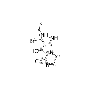 CCN/C(Br)=C(\C=N)C(O)c1nccnc1Cl